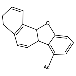 CC(=O)c1cccc2c1C1C=CC3=C(C=CCC3)C1O2